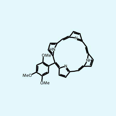 COc1cc(OC)c(-c2c3nc(cc4ccc(cc5nc(cc6ccc2[nH]6)C=C5)[nH]4)C=C3)cc1OC